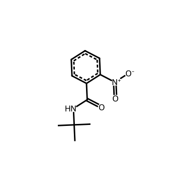 CC(C)(C)NC(=O)c1ccccc1[N+](=O)[O-]